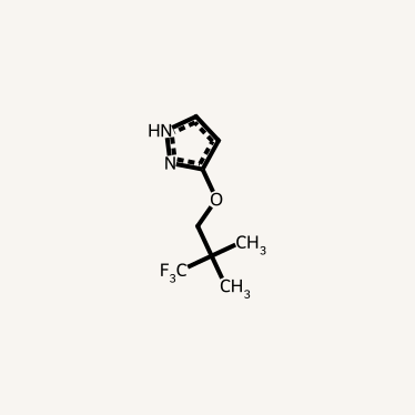 CC(C)(COc1cc[nH]n1)C(F)(F)F